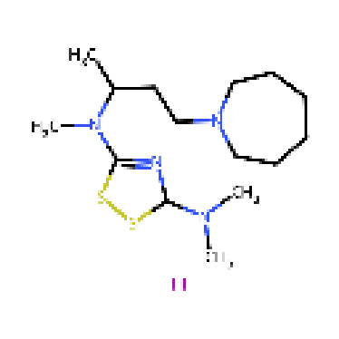 CC(CCN1CCCCCC1)N(C)C1=NC(N(C)C)SS1.I